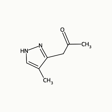 CC(=O)Cc1n[nH]cc1C